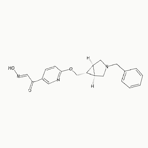 O=C(/C=N/O)c1ccc(OC[C@@H]2[C@H]3CN(Cc4ccccc4)C[C@@H]23)nc1